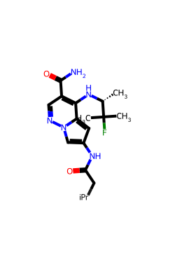 CC(C)CC(=O)Nc1cc2c(N[C@H](C)C(C)(C)F)c(C(N)=O)cnn2c1